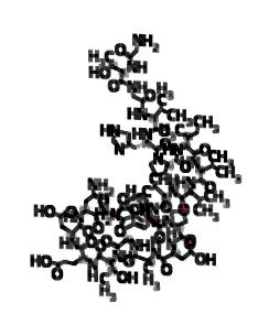 CC[C@H](C)[C@H](NC(=O)[C@@H]1CCCN1C(=O)[C@H](Cc1c[nH]cn1)NC(=O)[C@@H](NC(=O)CNC(=O)[C@@H](NC(=O)CN)[C@@H](C)O)C(C)C)C(=O)N[C@H](C(=O)N[C@H](C(=O)N[C@H](C(=O)N[C@@H](CCC(N)=O)C(=O)N1CCC[C@H]1C(=O)N[C@@H](CC(=O)O)C(=O)N[C@@H](C)C(=O)N[C@@H](Cc1c[nH]c2ccccc12)C(=O)N[C@H](C(=O)N[C@@H](CCC(=O)O)C(=O)N[C@@H](CC(=O)O)C(=O)N[C@@H](CC(N)=O)C(=O)NCC(=O)O)[C@@H](C)O)C(C)C)C(C)C)C(C)C